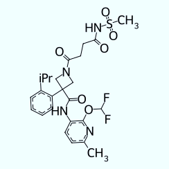 Cc1ccc(NC(=O)C2(c3ccccc3C(C)C)CN(C(=O)CCC(=O)NS(C)(=O)=O)C2)c(OC(F)F)n1